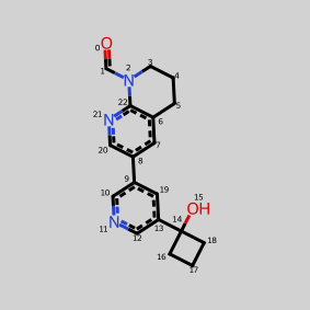 O=CN1CCCc2cc(-c3cncc(C4(O)CCC4)c3)cnc21